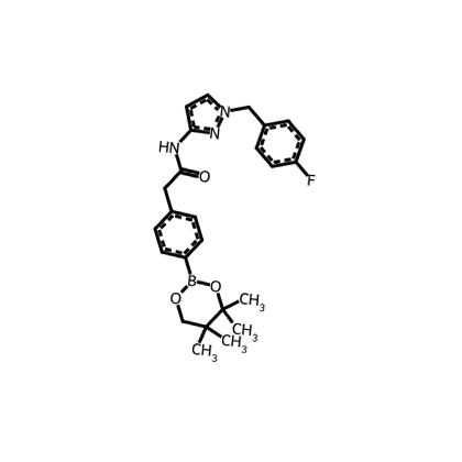 CC1(C)COB(c2ccc(CC(=O)Nc3ccn(Cc4ccc(F)cc4)n3)cc2)OC1(C)C